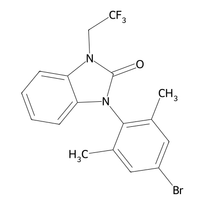 Cc1cc(Br)cc(C)c1-n1c(=O)n(CC(F)(F)F)c2ccccc21